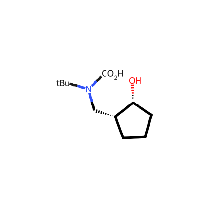 CC(C)(C)N(C[C@H]1CCC[C@H]1O)C(=O)O